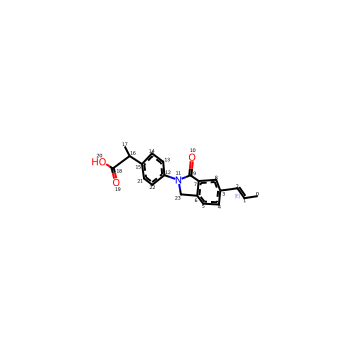 C/C=C/c1ccc2c(c1)C(=O)N(c1ccc(C(C)C(=O)O)cc1)C2